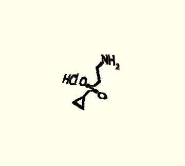 Cl.NCCS(=O)(=O)C1CC1